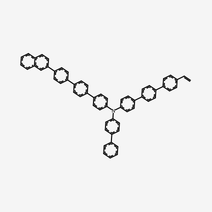 C=Cc1ccc(-c2ccc(-c3ccc(N(c4ccc(-c5ccccc5)cc4)c4ccc(-c5ccc(-c6ccc(-c7ccc8ccccc8c7)cc6)cc5)cc4)cc3)cc2)cc1